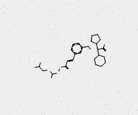 CC(C)COC(C)ONC(=O)C=Cc1cccc(CN[C@](C(=O)O)(C2CCCCC2)C2CCCC2)c1